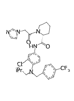 CC(C)CN(Cc1ccc(C(F)(F)F)cc1)c1ccc(NC(=O)[C@H]2CCCCN2C(=O)Cn2ccnc2)cc1Cl